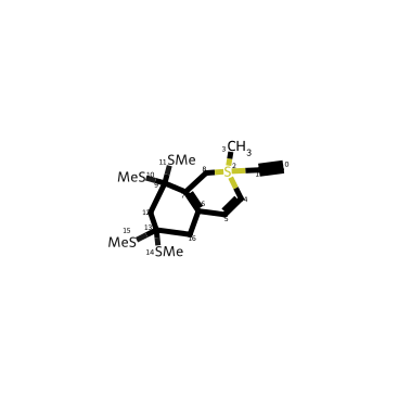 [C]#CS1(C)C=CC2=C(C1)C(SC)(SC)CC(SC)(SC)C2